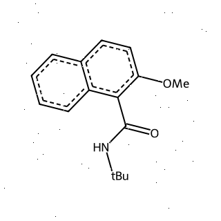 COc1ccc2ccccc2c1C(=O)NC(C)(C)C